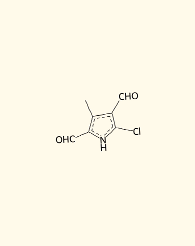 Cc1c(C=O)[nH]c(Cl)c1C=O